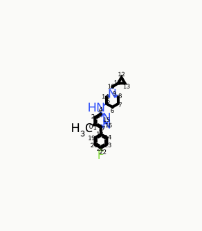 Cc1cc(N[C@@H]2CCCN(CC3CC3)C2)nnc1-c1ccc(F)cc1